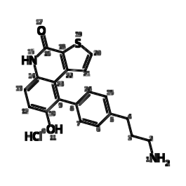 Cl.NCCCc1ccc(-c2c(O)ccc3[nH]c(=O)c4sccc4c23)cc1